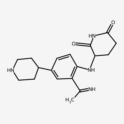 CC(=N)c1cc(C2CCNCC2)ccc1NC1CCC(=O)NC1=O